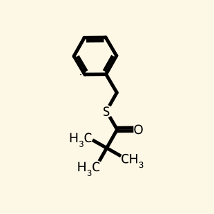 CC(C)(C)C(=O)SCc1[c]cccc1